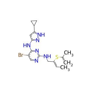 C=C(C)S/C(=C\C)CNc1ncc(Br)c(Nc2cc(C3CC3)[nH]n2)n1